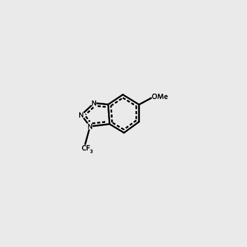 COc1ccc2c(c1)nnn2C(F)(F)F